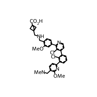 CNCc1ccc(-c2cccc(-c3ccnc(-c4ccc(CNCC56CC(C(=O)O)(C5)C6)c(OC)c4)c3Cl)c2Cl)nc1OC